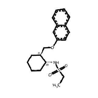 CCS(=O)(=O)N[C@@H]1CCCC[C@H]1COc1ccc2ccccc2c1